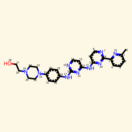 Cc1cccc(-c2nccc(Nc3ccnc(Nc4ccc(N5CCN(CCO)CC5)cc4)n3)n2)n1